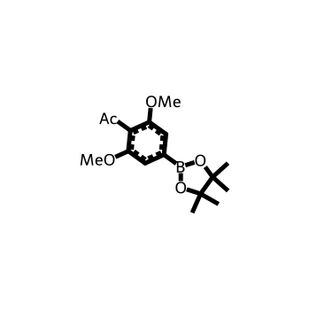 COc1cc(B2OC(C)(C)C(C)(C)O2)cc(OC)c1C(C)=O